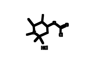 CC1C(OC(=O)Cl)CC(C)(C)N(C)C1C.Cl